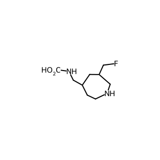 O=C(O)NCC1CCNCC(CF)C1